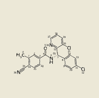 Cc1cc(C(=O)N[C@@H](c2ccc(Cl)cc2)c2ncccc2Cl)ccc1C#N